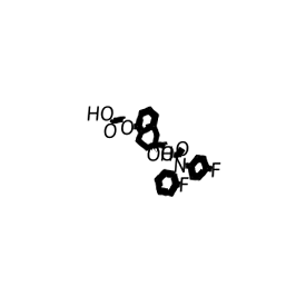 O=C(O)COc1cccc2c1CC[C@](O)(COC(=O)N(c1ccc(F)cc1)c1ccccc1F)C2